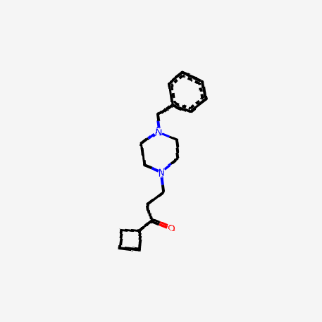 O=C(CCN1CCN(Cc2ccccc2)CC1)C1CCC1